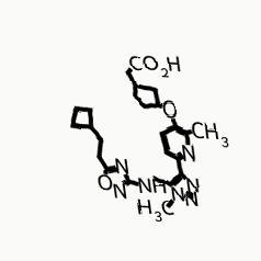 Cc1nc(-c2nnn(C)c2CNc2noc(CCC3CCC3)n2)ccc1OC1CCC(CC(=O)O)C1